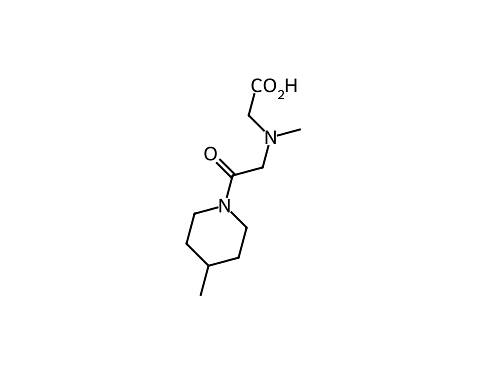 CC1CCN(C(=O)CN(C)CC(=O)O)CC1